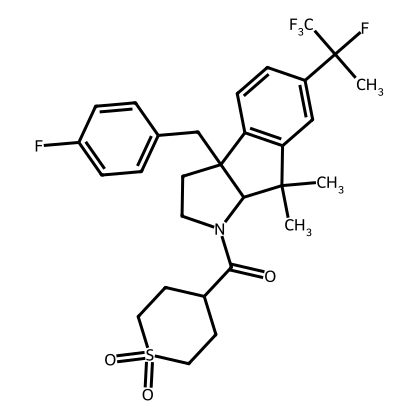 CC1(C)c2cc(C(C)(F)C(F)(F)F)ccc2C2(Cc3ccc(F)cc3)CCN(C(=O)C3CCS(=O)(=O)CC3)C12